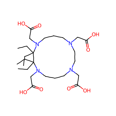 CCC1(CC)N(CC(=O)O)CCCN(CC(=O)O)CCN(CC(=O)O)CCCN(CC(=O)O)C1(CC)CC